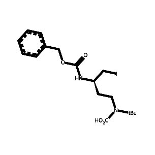 CC(C)(C)N(CC[C@H](CI)NC(=O)OCc1ccccc1)C(=O)O